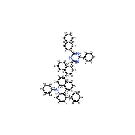 c1ccc(-c2nc(-c3ccc4ccccc4c3)nc(-c3ccc(-c4ccc5c6c(cccc46)-c4c(-c6ccccc6)cccc4N5c4ccccc4)c4ccccc34)n2)cc1